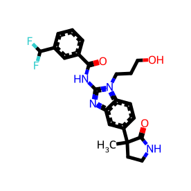 CC1(c2ccc3c(c2)nc(NC(=O)c2cccc(C(F)F)c2)n3CCCO)CCNC1=O